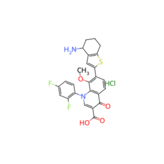 COc1c(-c2cc3c(s2)CCCC3N)ccc2c(=O)c(C(=O)O)cn(-c3ccc(F)cc3F)c12.Cl